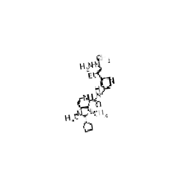 CC/C(=C\N(C)N)c1cncc(CNC(=O)C2NC=CC3=C2N(C)C(C2CCCC2)N3C)c1